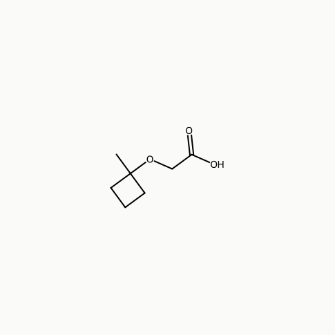 CC1(OCC(=O)O)CCC1